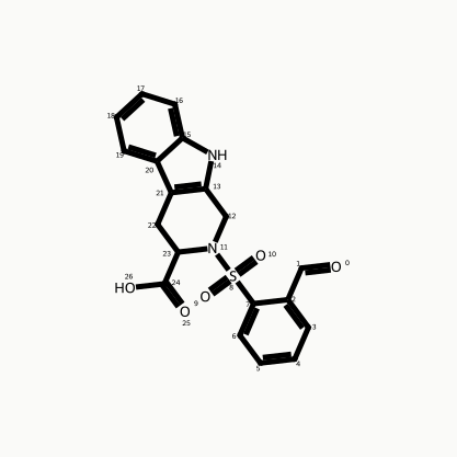 O=Cc1ccccc1S(=O)(=O)N1Cc2[nH]c3ccccc3c2CC1C(=O)O